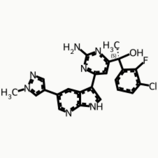 Cn1cc(-c2cnc3[nH]cc(-c4cc([C@@](C)(O)c5cccc(Cl)c5F)nc(N)n4)c3c2)cn1